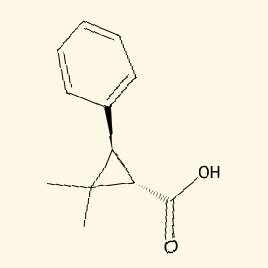 CC1(C)[C@@H](C(=O)O)[C@@H]1c1ccccc1